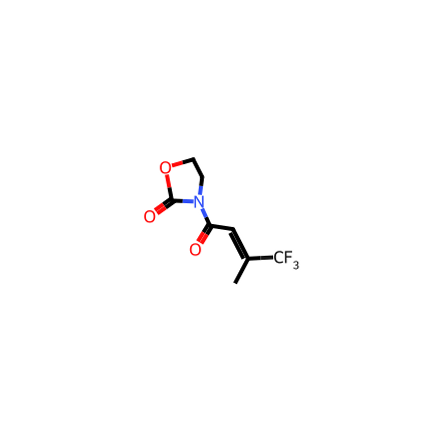 C/C(=C\C(=O)N1CCOC1=O)C(F)(F)F